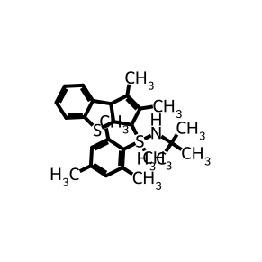 CC1=C(C)C(S(C)(NC(C)(C)C)c2c(C)cc(C)cc2C)C2Sc3ccccc3C12